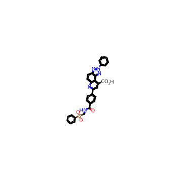 O=C(NCS(=O)(=O)c1ccccc1)c1ccc(-c2cc(C(=O)O)c3c(ccc4nn(-c5ccccc5)nc43)n2)cc1